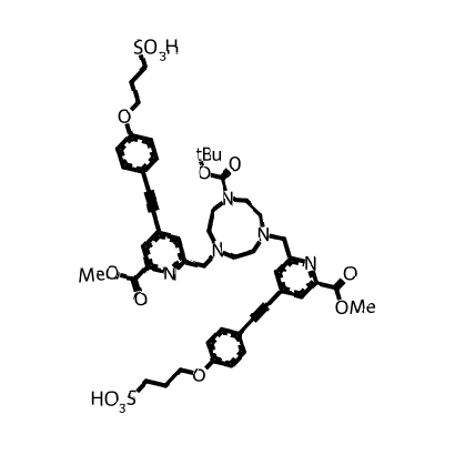 COC(=O)c1cc(C#Cc2ccc(OCCCS(=O)(=O)O)cc2)cc(CN2CCN(Cc3cc(C#Cc4ccc(OCCCS(=O)(=O)O)cc4)cc(C(=O)OC)n3)CCN(C(=O)OC(C)(C)C)CC2)n1